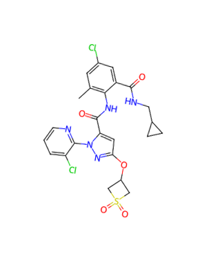 Cc1cc(Cl)cc(C(=O)NCC2CC2)c1NC(=O)c1cc(OC2CS(=O)(=O)C2)nn1-c1ncccc1Cl